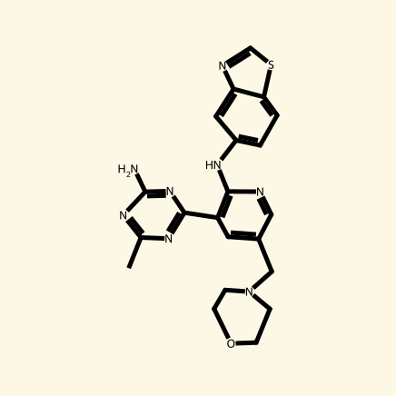 Cc1nc(N)nc(-c2cc(CN3CCOCC3)cnc2Nc2ccc3scnc3c2)n1